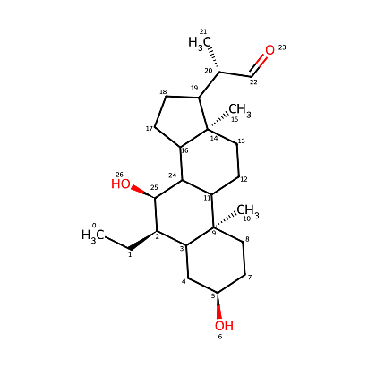 CC[C@@H]1C2C[C@H](O)CC[C@]2(C)C2CC[C@@]3(C)C(CCC3[C@H](C)C=O)C2[C@@H]1O